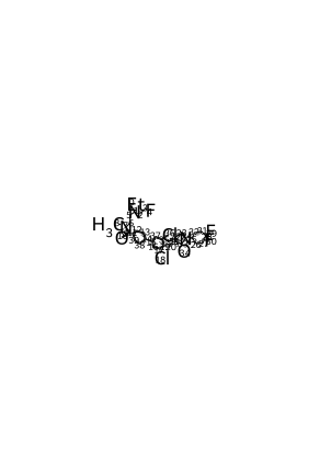 CCN(CCF)CCN(C)C(=O)c1ccc(-c2cc(Cl)c(C[C@@H]3CCN(C4CCC(F)(F)CC4)C3=O)c(Cl)c2)cc1